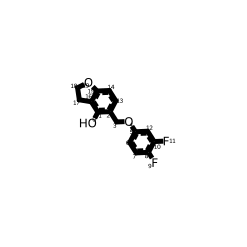 Oc1c(COc2ccc(F)c(F)c2)ccc2c1CCO2